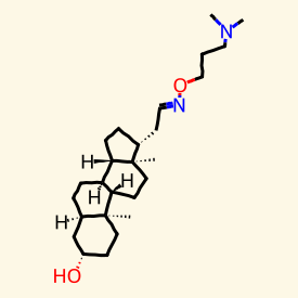 CN(C)CCCO/N=C/C[C@H]1CC[C@H]2[C@@H]3CC[C@@H]4C[C@@H](O)CC[C@]4(C)[C@H]3CC[C@]12C